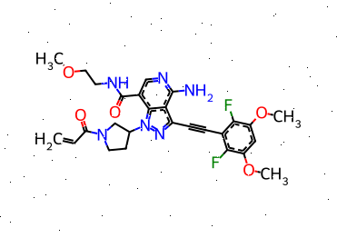 C=CC(=O)N1CCC(n2nc(C#Cc3c(F)c(OC)cc(OC)c3F)c3c(N)ncc(C(=O)NCCOC)c32)C1